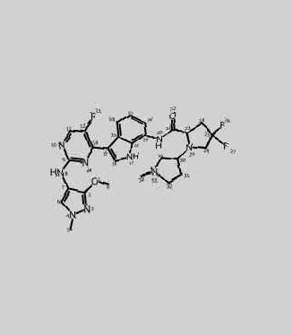 COc1nn(C)cc1Nc1ncc(F)c(-c2c[nH]c3c(NC(=O)[C@H]4CC(F)(F)CN4C4CCN(C)C4)cccc23)n1